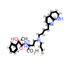 C[C@](O)(C(=O)N[C@@H](CCN(CCCF)CCCCc1ccc2c(n1)NCCC2)C(=O)O)c1ccccc1